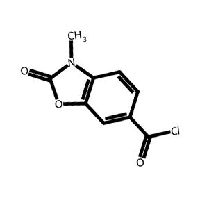 Cn1c(=O)oc2cc(C(=O)Cl)ccc21